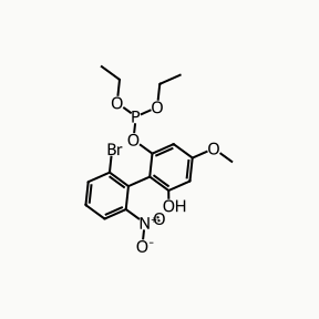 CCOP(OCC)Oc1cc(OC)cc(O)c1-c1c(Br)cccc1[N+](=O)[O-]